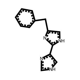 c1ccc(Cc2c[nH]c(-c3c[nH]cn3)n2)cc1